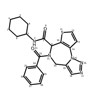 O=C(NC1CCCCC1)C1c2sccc2-n2nncc2CN1C(=O)c1ccccc1